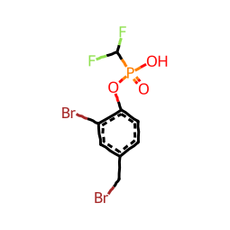 O=P(O)(Oc1ccc(CBr)cc1Br)C(F)F